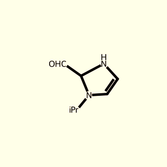 CC(C)N1C=CNC1C=O